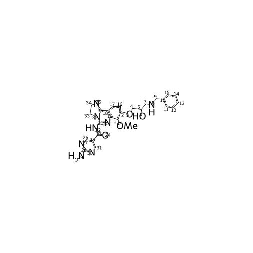 COc1c(OCC(O)CNCc2ccccc2)ccc2c1N=C(NC(=O)c1cnc(N)nc1)N1CCN=C21